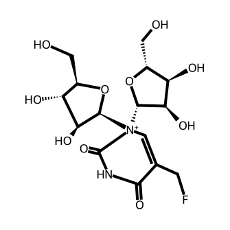 O=C1NC(=O)[N+]([C@@H]2O[C@H](CO)[C@@H](O)[C@H]2O)([C@@H]2O[C@H](CO)[C@@H](O)[C@@H]2O)C=C1CF